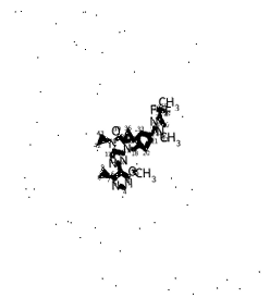 COc1ncnc(C2CC2)c1-c1ncc2c(n1)N(Cc1ccc(-c3nc(C(C)(F)F)cn3C)cc1)C1(CC1)C(=O)N2C1CC1